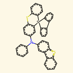 c1ccc(N(c2ccc3c(c2)[Si]2(c4ccccc4S3)c3ccccc3-c3ccccc32)c2ccc3sc4ccccc4c3c2)cc1